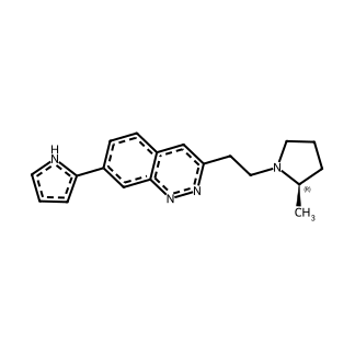 C[C@@H]1CCCN1CCc1cc2ccc(-c3ccc[nH]3)cc2nn1